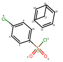 O=S(=O)(Cl)c1ccc(Cl)cc1.c1cc2cc(c1)C2